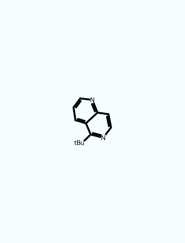 CC(C)(C)c1nccc2ncccc12